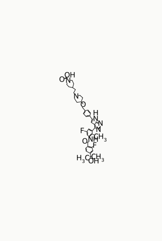 Cc1c(NC(=O)c2ccc(C(C)(C)O)cc2F)cc(F)cc1-c1ncnc2[nH]c(-c3ccc(COC4CCN(CCC5CCN(C(=O)O)CC5)CC4)cc3)cc12